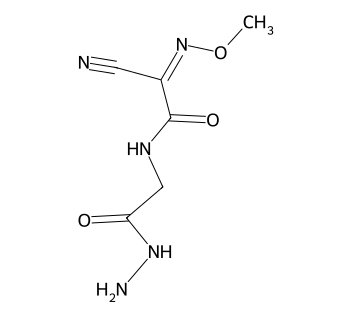 CON=C(C#N)C(=O)NCC(=O)NN